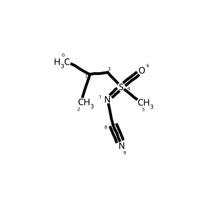 CC(C)CS(C)(=O)=NC#N